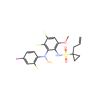 C=CCC1(S(=O)(=O)Nc2c(OC)cc(F)c(F)c2N(P)c2ccc(I)cc2F)CC1